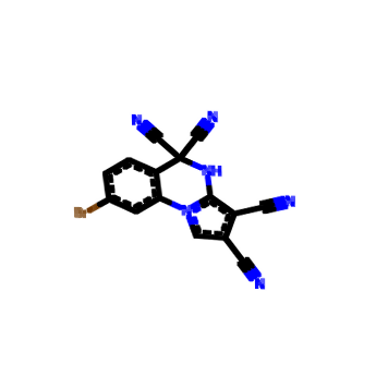 N#Cc1cn2c(c1C#N)NC(C#N)(C#N)c1ccc(Br)cc1-2